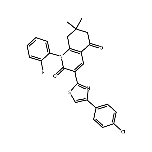 CC1(C)CC(=O)c2cc(-c3nc(-c4ccc(Cl)cc4)cs3)c(=O)n(-c3ccccc3F)c2C1